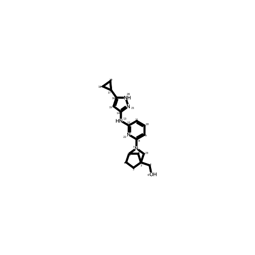 OCC12CCC(C1)N(c1cccc(Nc3cc(C4CC4)[nH]n3)n1)C2